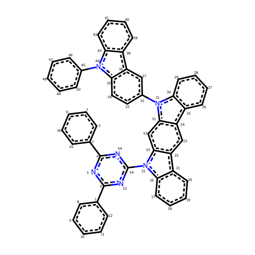 c1ccc(-c2nc(-c3ccccc3)nc(-n3c4ccccc4c4cc5c6ccccc6n(-c6ccc7c(c6)c6ccccc6n7-c6ccccc6)c5cc43)n2)cc1